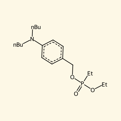 CCCCN(CCCC)c1ccc(COP(=O)(CC)OCC)cc1